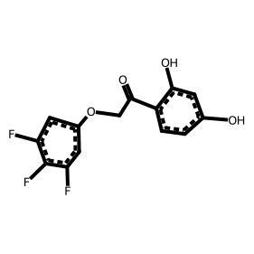 O=C(COc1cc(F)c(F)c(F)c1)c1ccc(O)cc1O